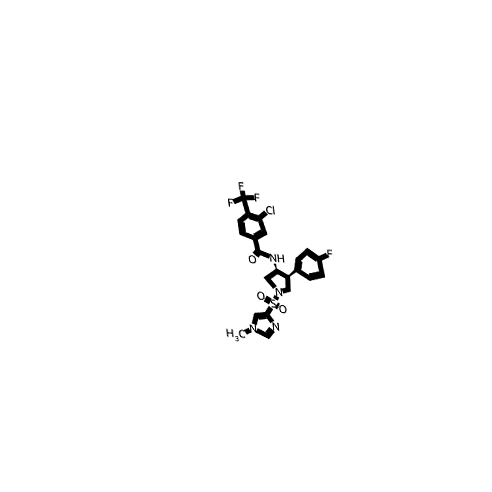 Cn1cnc(S(=O)(=O)N2C[C@H](NC(=O)c3ccc(C(F)(F)F)c(Cl)c3)[C@@H](c3ccc(F)cc3)C2)c1